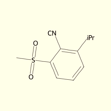 [C-]#[N+]c1c(C(C)C)cccc1S(C)(=O)=O